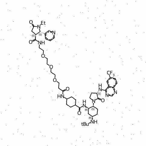 CCN1C(=O)C[C@H](C(=O)NCCOCCOCCOCCC(=O)NC2CCC(C(=O)N[C@@H]3C[C@H](NC(C)(C)C)CC[C@@H]3N3CC[C@H](Nc4ncnc5ccc(C(F)(F)F)cc45)C3=O)CC2)[C@H]1c1cccnc1